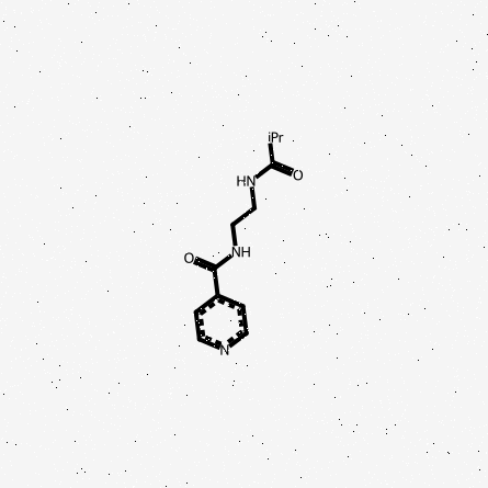 CC(C)C(=O)NCCNC(=O)c1ccncc1